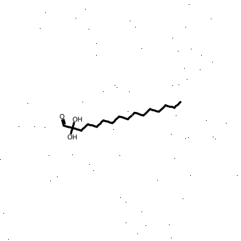 CCCCCCCCCCCCCCC(O)(O)C=O